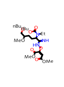 CCCCOCC(CCC(C(=N)NOC(=CC(=O)OC)C(=O)OC)N(CC)C(=O)OC(C)(C)C)OC